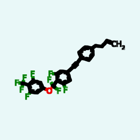 C=CCCc1ccc(C#Cc2cc(F)c(C(F)(F)Oc3cc(F)c(C(F)(F)F)c(F)c3)c(F)c2)cc1